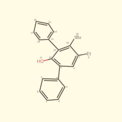 CCc1cc(-c2ccccc2)c(O)c(-c2ccccc2)c1C(C)(C)C